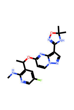 CNc1ncc(F)cc1C(C)Oc1ccn2ncc(C3=NOC(C)(C)N3)c2n1